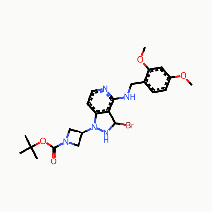 COc1ccc(CNc2nccc3c2C(Br)NN3C2CN(C(=O)OC(C)(C)C)C2)c(OC)c1